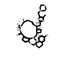 CO[C@@]1(Cc2nc(CN3CCOCC3)c(C)o2)/C=C/C[C@H](C)[C@@H](C)S(=O)(=O)NC(=O)c2ccc3c(c2)N(C[C@@H]2CC[C@H]21)C[C@@]1(CCCc2cc(Cl)ccc21)CO3